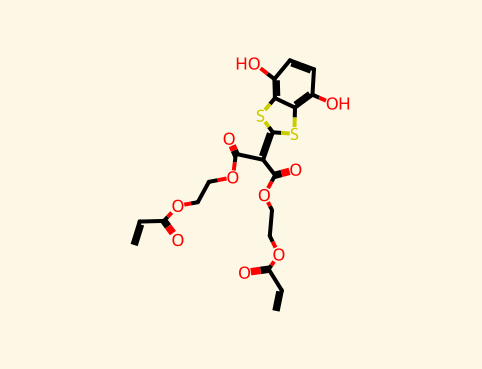 C=CC(=O)OCCOC(=O)C(C(=O)OCCOC(=O)C=C)=C1Sc2c(O)ccc(O)c2S1